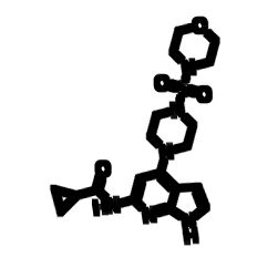 O=C(Nc1cc(N2CCN(S(=O)(=O)N3CCOCC3)CC2)c2cc[nH]c2n1)C1CC1